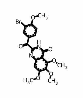 COc1ccc(C(=O)c2nc3cc(OC)c(OC)c(OC)c3c(=O)[nH]2)cc1Br